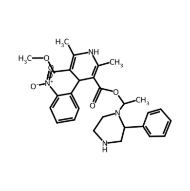 COC(=O)C1=C(C)NC(C)=C(C(=O)OC(C)N2CCNCC2c2ccccc2)C1c1ccccc1[N+](=O)[O-]